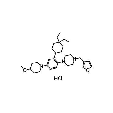 CCC1(CC)CCC(c2cc(N3CCC(OC)CC3)ccc2N2CCN(Cc3ccoc3)CC2)CC1.Cl